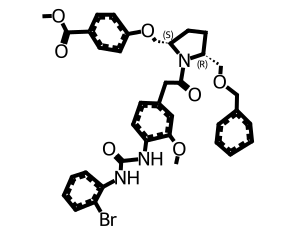 COC(=O)c1ccc(OC[C@@H]2CC[C@H](COCc3ccccc3)N2C(=O)Cc2ccc(NC(=O)Nc3ccccc3Br)c(OC)c2)cc1